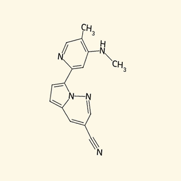 CNc1cc(-c2ccc3cc(C#N)cnn23)ncc1C